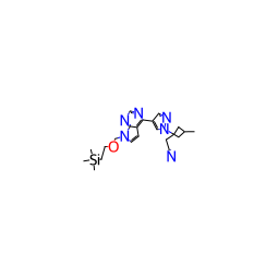 CC1CC(CC#N)(n2cc(-c3ncnc4c3ccn4COCC[Si](C)(C)C)cn2)C1